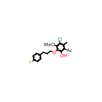 COc1c(Cl)c(C)c(C(C)=O)c(O)c1OCCCc1ccc(F)cc1